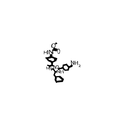 COC(=O)Nc1ccc(-c2nc(C(Cc3ccccc3)NC(=O)C3CCC(CN)CC3)[nH]c2C)cc1